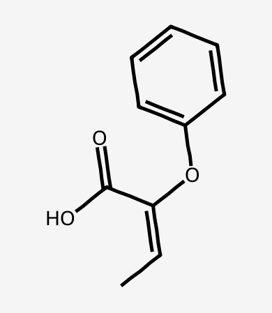 CC=C(Oc1ccccc1)C(=O)O